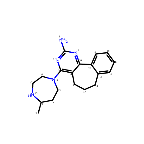 CC1CCN(c2nc(N)nc3c2CCCc2ccccc2-3)CCN1